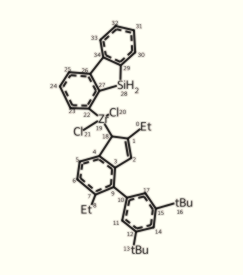 CCC1=Cc2c(ccc(CC)c2-c2cc(C(C)(C)C)cc(C(C)(C)C)c2)[CH]1[Zr]([Cl])([Cl])[c]1cccc2c1[SiH2]c1ccccc1-2